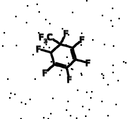 FC1=C(F)C(F)C(F)(C(F)(F)F)C(F)=C1F